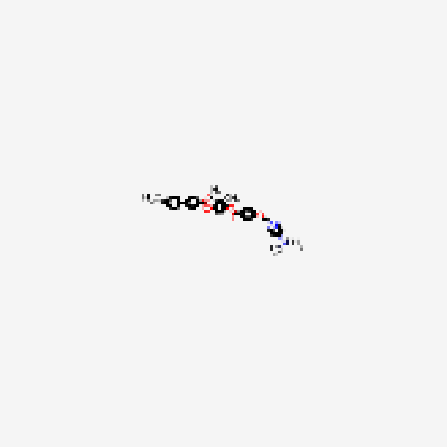 CCC1CCC(C2CCC(C(=O)Oc3ccc(OC(=O)c4ccc(OCC[n+]5ccc(N(C)C)cc5)cc4)c(C)c3C)CC2)CC1